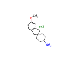 COc1ccc2c(c1)CC1(CCC(N)CC1)C2.Cl